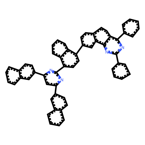 c1ccc(-c2nc(-c3ccccc3)c3ccc4ccc(-c5ccc(-c6nc(-c7ccc8ccccc8c7)cc(-c7ccc8ccccc8c7)n6)c6ccccc56)cc4c3n2)cc1